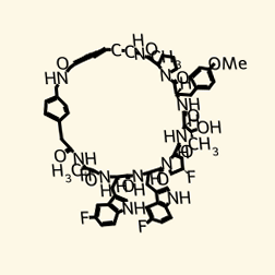 COc1ccc(C[C@@H]2NC(=O)[C@@H]([C@H](C)O)NC(=O)[C@@H]3C[C@H](F)CN3C(=O)[C@H](Cc3c[nH]c4ccc(F)cc34)NC(=O)[C@H](Cc3c[nH]c4ccc(F)cc34)NC(=O)[C@@H](C)NC(=O)Cc3ccc(cc3)CNC(=O)c3ccc(cc3)CCNC(=O)[C@]3(C)CCCN3C2=O)cc1